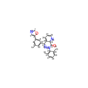 Cc1cc(-c2cnco2)cc(-c2nn(-c3c(C)cccc3C)c(=O)c3ncccc23)c1